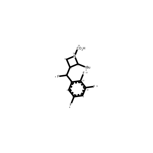 CC(C)(C)C1C(C(F)c2cc(F)cc(F)c2F)CN1C(=O)O